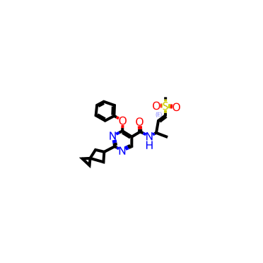 CC(/C=C/S(C)(=O)=O)NC(=O)c1cnc(C2CC3(CC3)C2)nc1Oc1ccccc1